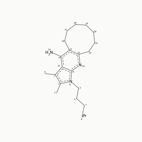 Cc1c(C)n(CCCC(C)C)c2nc3c(c(N)c12)CCCCCCC3